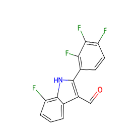 O=Cc1c(-c2ccc(F)c(F)c2F)[nH]c2c(F)cccc12